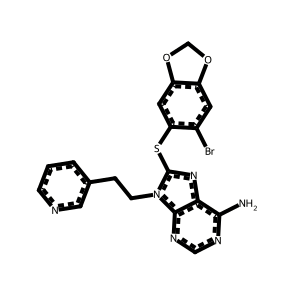 Nc1ncnc2c1nc(Sc1cc3c(cc1Br)OCO3)n2CCc1cccnc1